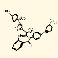 CC(NCS(=O)(=O)c1ccc(C(C)(C)C)cc1)c1nc2ccccc2c(=O)n1-c1ccc(-c2cccc(C(=O)O)c2)cc1